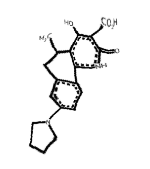 CC1Cc2cc(N3CCCC3)ccc2-c2[nH]c(=O)c(C(=O)O)c(O)c21